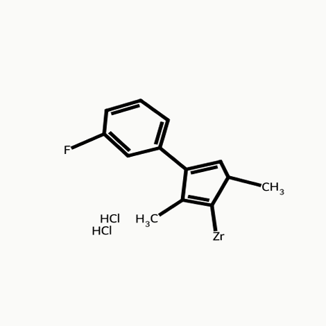 CC1=[C]([Zr])C(C)C=C1c1cccc(F)c1.Cl.Cl